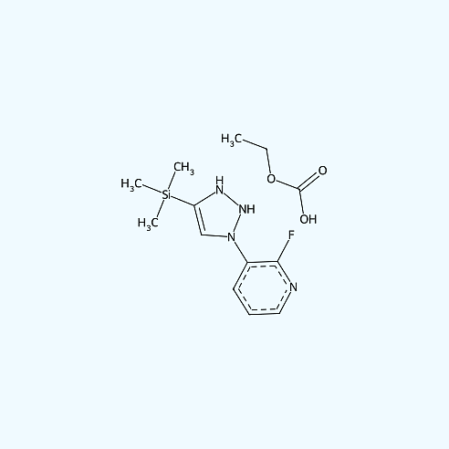 CCOC(=O)O.C[Si](C)(C)C1=CN(c2cccnc2F)NN1